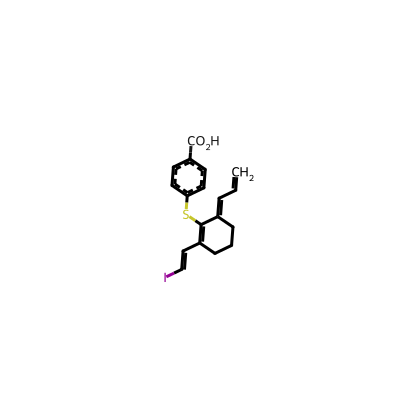 C=C/C=C1\CCCC(/C=C/I)=C1Sc1ccc(C(=O)O)cc1